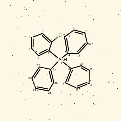 Clc1ccccc1[AsH](c1ccccc1)(c1ccccc1)c1ccccc1